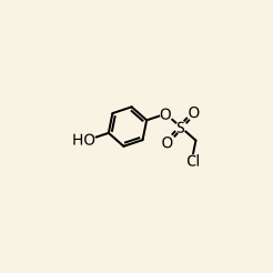 O=S(=O)(CCl)Oc1ccc(O)cc1